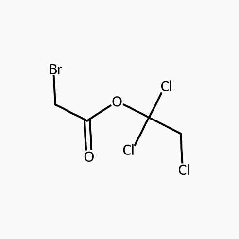 O=C(CBr)OC(Cl)(Cl)CCl